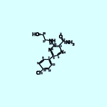 NC(=O)c1ncc(-c2ccc(Cl)cc2)nc1NCCO